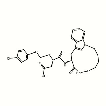 O=C(O)C[C@@H](CCOc1ccc(Cl)cc1)C(=O)N[C@H]1Cc2cn(c3ccccc23)CCCCCNC1=O